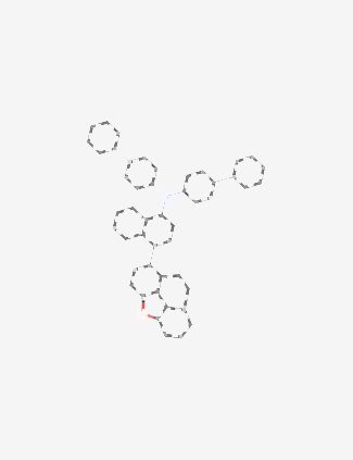 c1ccc(-c2ccc(N(c3ccc(-c4ccccc4)cc3)c3ccc(-c4ccc5oc6cccc7ccc4c5c76)c4ccccc34)cc2)cc1